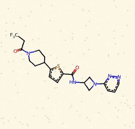 O=C(NC1CN(c2cccnn2)C1)c1ccc(C2CCN(C(=O)CC(F)(F)F)CC2)s1